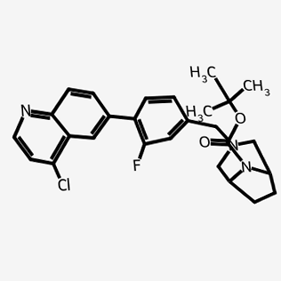 CC(C)(C)OC(=O)N1C2CCC1CN(Cc1ccc(-c3ccc4nccc(Cl)c4c3)c(F)c1)C2